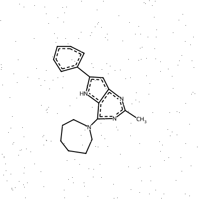 Cc1nc(N2CCCCCC2)c2[nH]c(-c3ccccc3)cc2n1